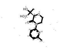 CC(O)(C(=O)O)[C@H]1OCCN(c2cccc(I)n2)C1=O